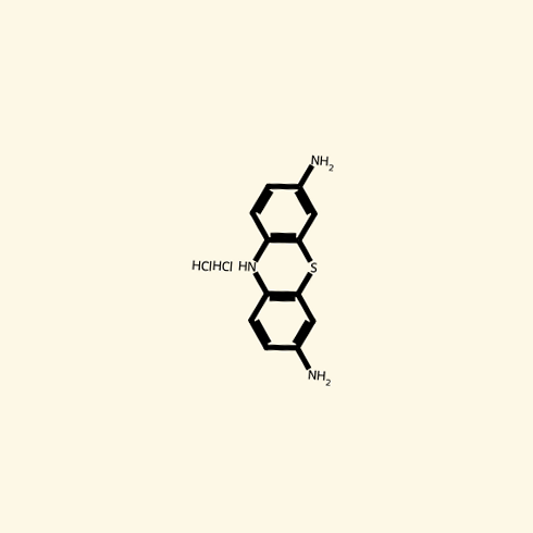 Cl.Cl.Nc1ccc2c(c1)Sc1cc(N)ccc1N2